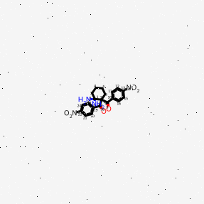 NC1(N)CCCCC1(C(=O)c1ccc([N+](=O)[O-])cc1)C(=O)c1ccc([N+](=O)[O-])cc1